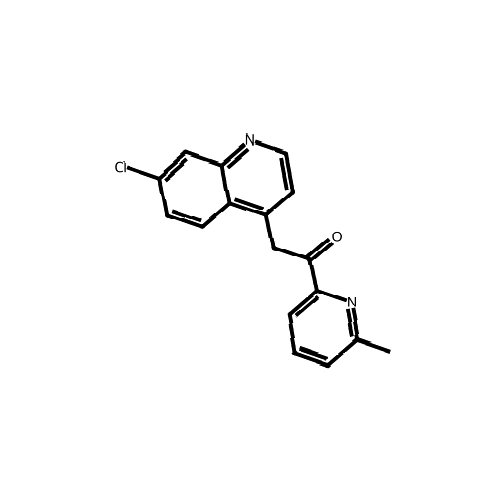 Cc1cccc(C(=O)Cc2ccnc3cc(Cl)ccc23)n1